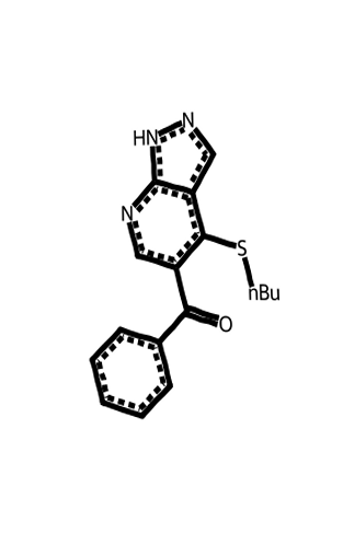 CCCCSc1c(C(=O)c2ccccc2)cnc2[nH]ncc12